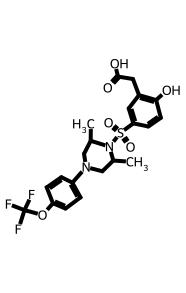 CC1CN(c2ccc(OC(F)(F)F)cc2)CC(C)N1S(=O)(=O)c1ccc(O)c(CC(=O)O)c1